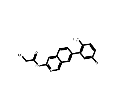 CCC(=O)Nc1cc2ccc(-c3cc(F)ccc3C)cc2cn1